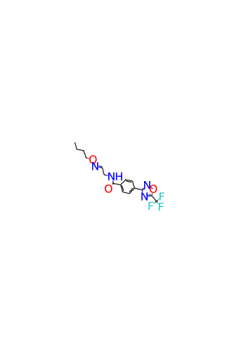 CCCCON=CCNC(=O)c1ccc(-c2noc(C(F)(F)F)n2)cc1